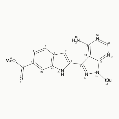 COC(=O)c1ccc2cc(-c3nn(C(C)(C)C)c4ncnc(N)c34)[nH]c2c1